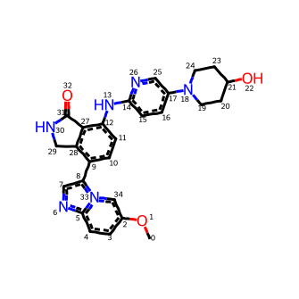 COc1ccc2ncc(-c3ccc(Nc4ccc(N5CCC(O)CC5)cn4)c4c3CNC4=O)n2c1